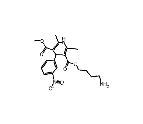 COC(=O)C1=C(C)NC(C)=C(C(=O)OCCCCN)C1c1cccc([N+](=O)[O-])c1